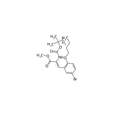 CCCCOc1ccc(Br)cc1/C=C(\NC(=O)OC(C)(C)C)C(=O)OC